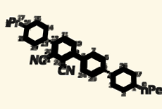 CCCCC[C@H]1CC[C@H](c2ccc(-c3ccc([C@H]4CC[C@H](CCC)CC4)c(C#N)c3C#N)cc2)CC1